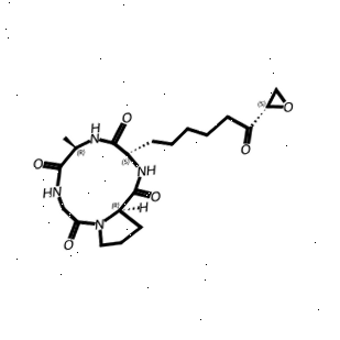 C[C@H]1NC(=O)[C@H](CCCCCC(=O)[C@@H]2CO2)NC(=O)[C@H]2CCCN2C(=O)CNC1=O